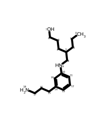 CCCC(CCCO)CNc1cccc(CCCN)c1